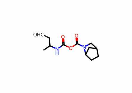 CC(CC=O)NC(=O)OC(=O)N1CC2CCC1C2